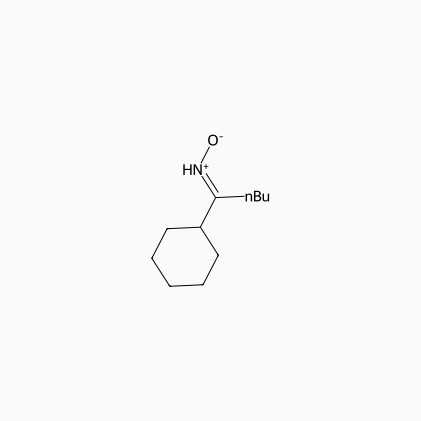 CCCCC(=[NH+][O-])C1CCCCC1